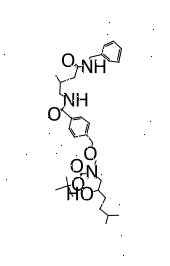 CC(C)CCC(O)CN(COCc1ccc(C(=O)NCC(C)CC(=O)NCc2ccccc2)cc1)C(=O)OC(C)(C)C